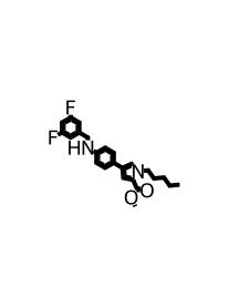 CCCCCn1cc(-c2ccc(NCc3cc(F)cc(F)c3)cc2)cc1C(=O)OC